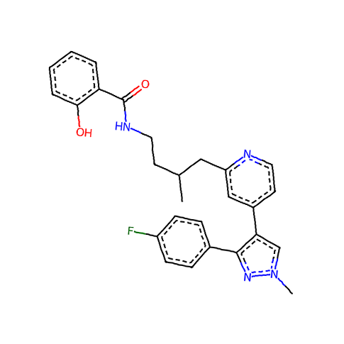 CC(CCNC(=O)c1ccccc1O)Cc1cc(-c2cn(C)nc2-c2ccc(F)cc2)ccn1